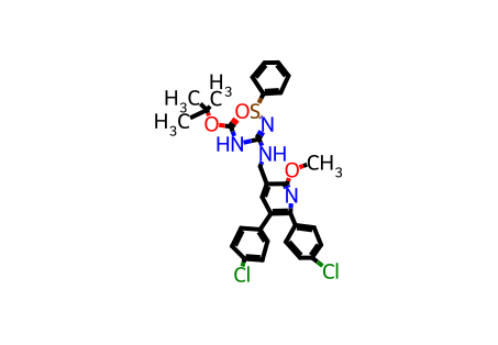 COc1nc(-c2ccc(Cl)cc2)c(-c2ccc(Cl)cc2)cc1CN/C(=N/Sc1ccccc1)NC(=O)OC(C)(C)C